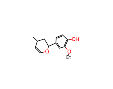 CCOc1cc(C2CC(C)C=CO2)ccc1O